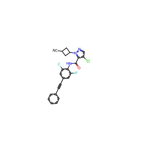 N#CC1CC(n2ncc(Cl)c2C(=O)Nc2c(F)cc(C#Cc3ccccc3)cc2F)C1